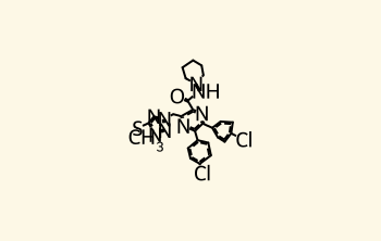 CSc1nnn(Cc2nc(-c3ccc(Cl)cc3)c(-c3ccc(Cl)cc3)nc2C(=O)NN2CCCCC2)n1